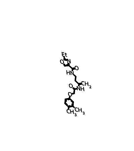 C=C(CCNC(=O)c1coc(CC)n1)NC(=O)COc1ccc(C)c(C)c1